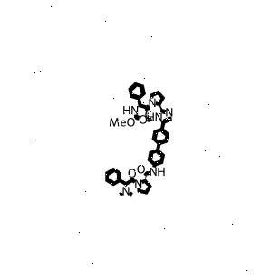 C=C=C([C@H](NC(=O)OC)c1ccccc1)N1CCC[C@H]1c1ncc(-c2ccc(-c3ccc(NC(=O)[C@@H]4CCCN4C(=O)[C@@H](c4ccccc4)N(C)C)cc3)cc2)[nH]1